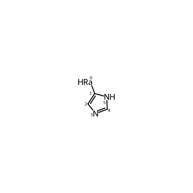 [RaH][c]1cnc[nH]1